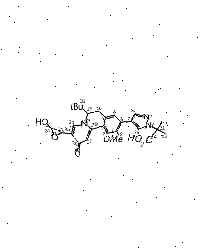 COc1cc2c(cc1-c1cnn(C(C)(C)C(=O)O)c1)CC(C(C)(C)C)n1cc(C3OC3O)c(=O)cc1-2